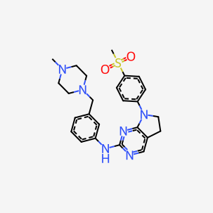 CN1CCN(Cc2cccc(Nc3ncc4c(n3)N(c3ccc(S(C)(=O)=O)cc3)CC4)c2)CC1